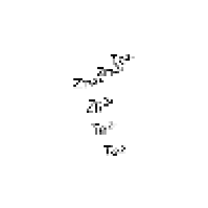 [Te-2].[Te-2].[Te-2].[Zn+2].[Zn+2].[Zn+2]